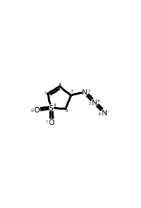 [N-]=[N+]=NC1C=CS(=O)(=O)C1